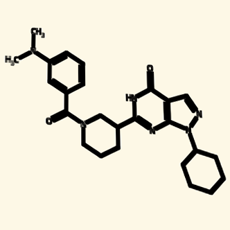 CN(C)c1cccc(C(=O)N2CCCC(c3nc4c(cnn4C4CCCCC4)c(=O)[nH]3)C2)c1